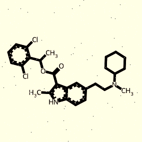 Cc1[nH]c2ccc(CCN(C)C3CCCCC3)cc2c1C(=O)OC(C)c1c(Cl)cccc1Cl